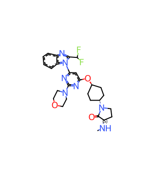 CN[C@H]1CCN([C@H]2CC[C@H](Oc3cc(-n4c(C(F)F)nc5ccccc54)nc(N4CCOCC4)n3)CC2)C1=O